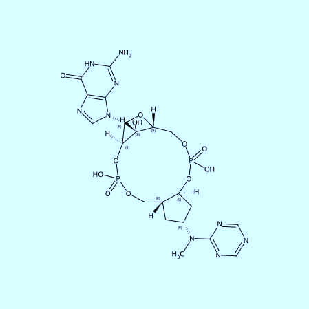 CN(c1ncncn1)[C@@H]1C[C@@H]2COP(=O)(O)O[C@@H]3[C@H](O)[C@@H](COP(=O)(O)O[C@H]2C1)O[C@H]3n1cnc2c(=O)[nH]c(N)nc21